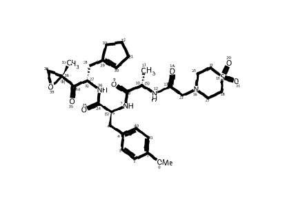 COc1ccc(C[C@H](NC(=O)[C@H](C)NC(=O)CN2CCS(=O)(=O)CC2)C(=O)N[C@@H](CC2=CCCC2)C(=O)[C@@]2(C)CO2)cc1